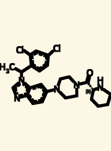 CC(c1ccc(Cl)cc1Cl)n1cnc2ccc(N3CCN(C(=O)[C@H]4CCCCN4)CC3)cc21